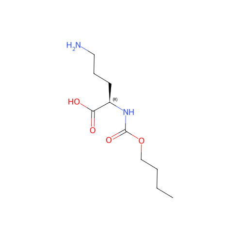 CCCCOC(=O)N[C@H](CCCN)C(=O)O